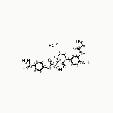 Cc1ccc(N2CCO[C@H]([C@@H](O)C(=O)Nc3ccc(C(=N)N)cc3)C2=O)cc1NC(=O)CO.Cl